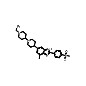 Cc1cc(C2CCN(C3CCN(CC(C)C)CC3)CC2)cc2[nH]c(-c3ccc(S(C)(=O)=O)cc3)nc12